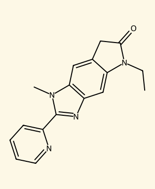 CCN1C(=O)Cc2cc3c(cc21)nc(-c1ccccn1)n3C